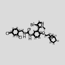 Cn1ncc(Br)c1-c1cc(NC(=O)NCc2ccc(Cl)cc2Cl)ccc1OCCN1C2CCC1CC2